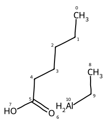 CCCCCC(=O)O.C[CH2][AlH2]